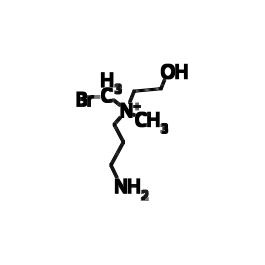 C[N+](C)(CCO)CCCN.[Br-]